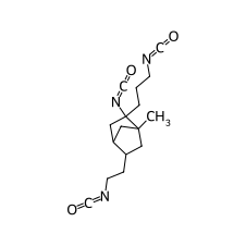 CC12CC(CCN=C=O)C(C1)CC2(CCCN=C=O)N=C=O